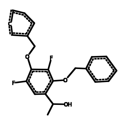 CC(O)c1cc(F)c(OCc2ccccc2)c(F)c1OCc1ccccc1